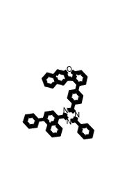 c1ccc(-c2nc(-c3ccc(-c4cccc5oc6cc7ccccc7cc6c45)cc3)nc(-c3ccc(-c4ccccc4)c4ccccc34)n2)cc1